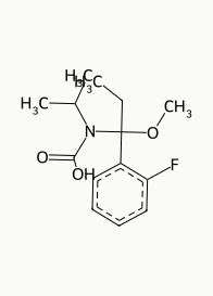 CCC(OC)(c1ccccc1F)N(C(=O)O)C(C)C